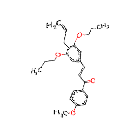 C=CCc1c(OCCC)cc(C=CC(=O)c2ccc(OC)cc2)cc1OCCC